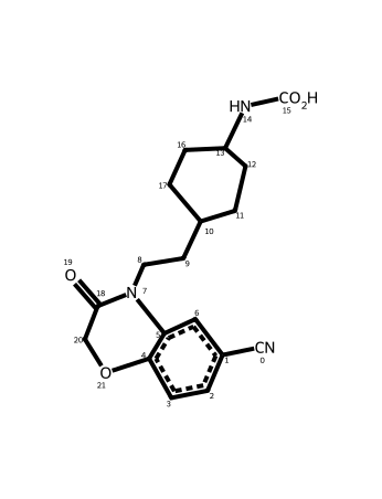 N#Cc1ccc2c(c1)N(CCC1CCC(NC(=O)O)CC1)C(=O)CO2